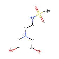 CC(C)(C)S(=O)(=O)NCCN(CCO)CCO